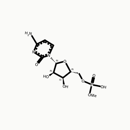 COP(=O)(O)OC[C@H]1O[C@@H](n2ccc(N)nc2=O)[C@H](O)[C@@H]1O